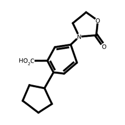 O=C(O)c1cc(N2CCOC2=O)ccc1C1CCCC1